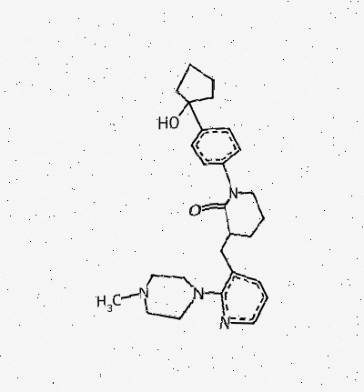 CN1CCN(c2ncccc2CC2CCCN(c3ccc(C4(O)CCCC4)cc3)C2=O)CC1